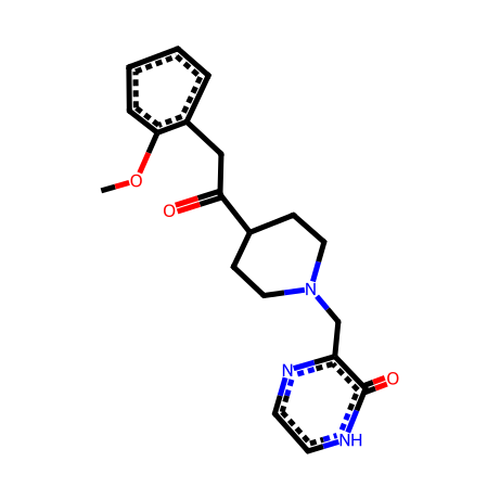 COc1ccccc1CC(=O)C1CCN(Cc2ncc[nH]c2=O)CC1